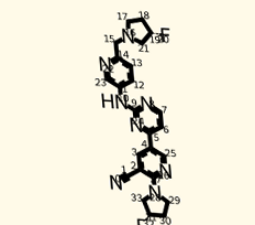 N#Cc1cc(-c2ccnc(Nc3ccc(CN4CC[C@H](F)C4)nc3)n2)cnc1N1CC[C@H](F)C1